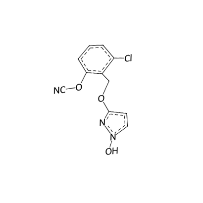 N#COc1cccc(Cl)c1COc1ccn(O)n1